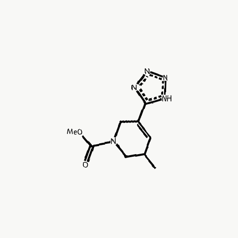 COC(=O)N1CC(c2nnn[nH]2)=CC(C)C1